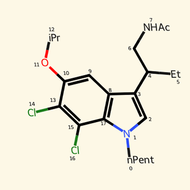 CCCCCn1cc(C(CC)CNC(C)=O)c2cc(OC(C)C)c(Cl)c(Cl)c21